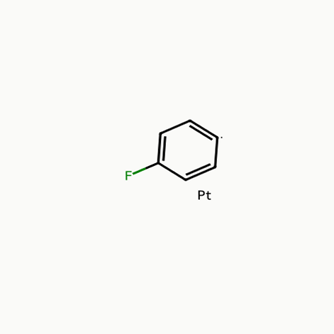 Fc1cc[c]cc1.[Pt]